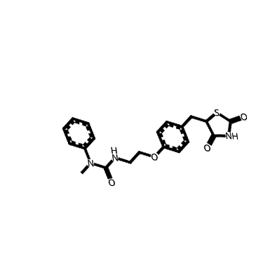 CN(C(=O)NCCOc1ccc(CC2SC(=O)NC2=O)cc1)c1ccccc1